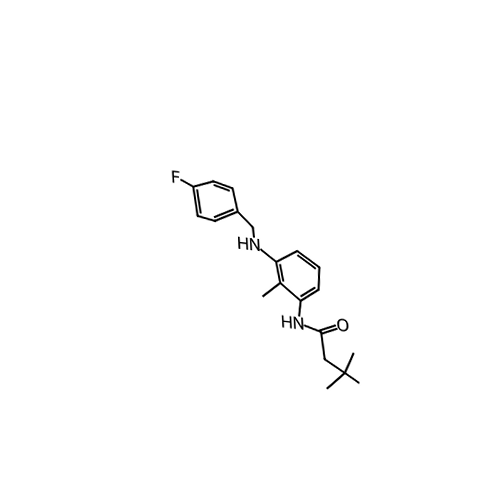 Cc1c(NCc2ccc(F)cc2)cccc1NC(=O)CC(C)(C)C